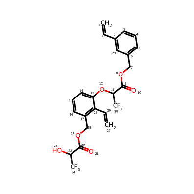 C=Cc1cccc(COC(=O)C(Oc2cccc(COC(=O)C(O)C(F)(F)F)c2C=C)C(F)(F)F)c1